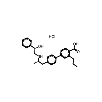 CCCc1cc(-c2ccc(C[C@@H](C)NC[C@H](O)c3ccccc3)cc2)ccc1C(=O)O.Cl